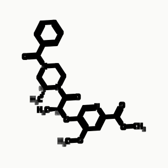 COC(=O)c1cc(OC)c(O[C@@H](C)C(=O)N2CCN(C(=O)c3ccccc3)C[C@H]2C)cn1